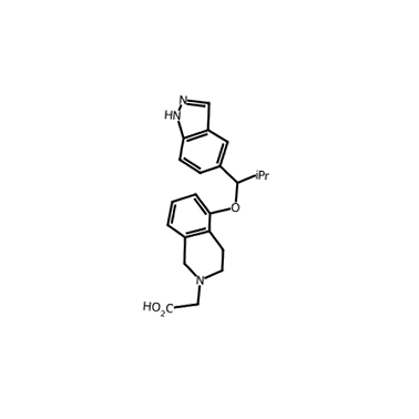 CC(C)C(Oc1cccc2c1CCN(CC(=O)O)C2)c1ccc2[nH]ncc2c1